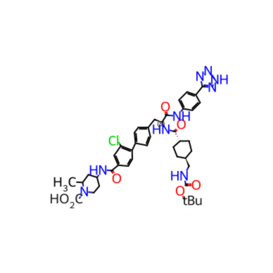 CC1CC(NC(=O)c2ccc(-c3ccc(C[C@H](NC(=O)[C@H]4CC[C@H](CNC(=O)OC(C)(C)C)CC4)C(=O)Nc4ccc(-c5nn[nH]n5)cc4)cc3)c(Cl)c2)CCN1C(=O)O